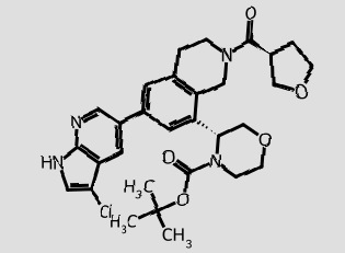 CC(C)(C)OC(=O)N1CCOC[C@H]1c1cc(-c2cnc3[nH]cc(Cl)c3c2)cc2c1CN(C(=O)[C@H]1CCOC1)CC2